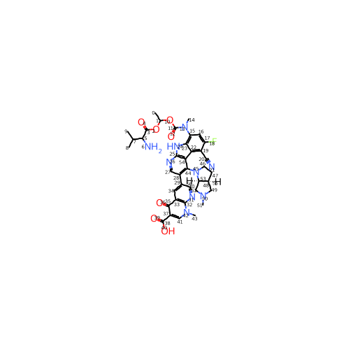 CC(OC(=O)C(N)C(C)C)OC(=O)N(C)c1cc(F)c(C#N)c2c1[nH]c1ncc(-c3cnc4c(c3)c(=O)c(C(=O)O)cn4C)c(N3CC[C@H]4CN(C)C[C@H]43)c12